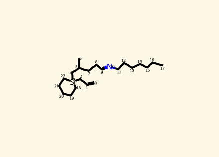 C=CC[Si]1(CC(C)CCC=NCCCCCCC)CCCCC1